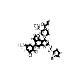 C=CC(=O)N1CCN(c2nc(OC[C@@H]3CCCN3C)nc3cc(-c4cc(N)cc(Cl)c4Cl)c4ccoc4c23)C[C@@H]1CC#N